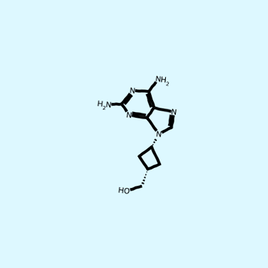 Nc1nc(N)c2ncn([C@H]3C[C@@H](CO)C3)c2n1